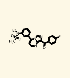 CCN(c1cccc(-c2ccnc3c(C(=O)c4ccc(F)cc4)ncn23)c1)S(C)(=O)=O